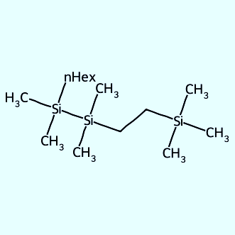 CCCCCC[Si](C)(C)[Si](C)(C)CC[Si](C)(C)C